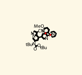 COc1ccc(CN2C3CC2CN(c2ccc(-c4cc(N(C(=O)OC(C)(C)C)C(C)(C)C)cn5ncc(C#N)c45)cn2)C3)cn1